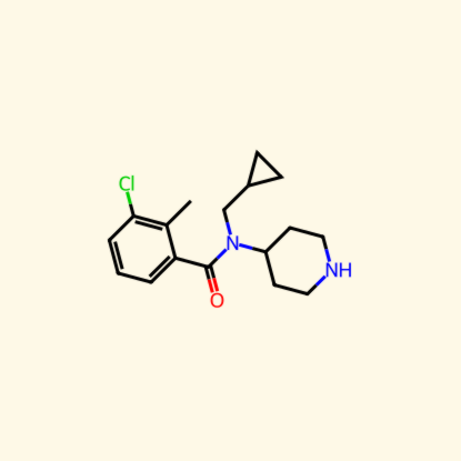 Cc1c(Cl)cccc1C(=O)N(CC1CC1)C1CCNCC1